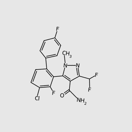 Cn1nc(C(F)F)c(C(N)=O)c1-c1c(-c2ccc(F)cc2)ccc(Cl)c1F